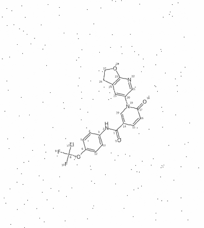 O=C(Nc1ccc(OC(F)(F)Cl)cc1)c1ccc(=O)n(-c2cnc3c(c2)CCO3)c1